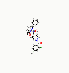 O=C(c1ccc(F)cc1F)N1CCC2(CC1)O[C@@H]1CC[C@@H](c3ccccc3)N1C2=O